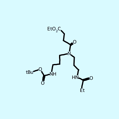 CCOC(=O)CCC(=O)N(CCCNC(=O)CC)CCCNC(=O)OC(C)(C)C